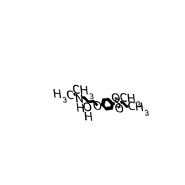 CCC(C)S(=O)(=O)c1ccc(OCC(O)CNC(C)C)cc1